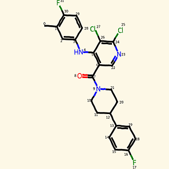 Cc1cc(Nc2c(C(=O)N3CCC(c4ccc(F)cc4)CC3)cnc(Cl)c2Cl)ccc1F